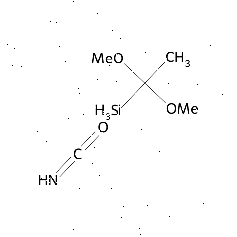 COC(C)([SiH3])OC.N=C=O